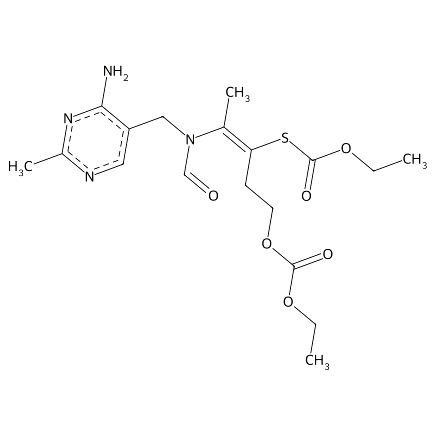 CCOC(=O)OCC/C(SC(=O)OCC)=C(/C)N(C=O)Cc1cnc(C)nc1N